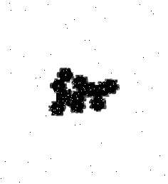 c1ccc(-c2cccc(-c3nc(-c4ccccc4)nc(-c4cc(-n5c6ccccc6c6cc7c8cc9ccccc9cc8n(-c8ccccc8)c7cc65)cc5ccccc45)n3)c2)cc1